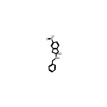 Cl.O=[N+]([O-])c1ccc2c(c1)CC(NCc1ccccc1)C2